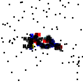 Cc1ncsc1-c1ccc([C@H](C)NC(=O)[C@@H]2C[C@@H](O)CN2C(=O)C(c2cc(N3CCC(CN4CCC(n5nc(NCC(C)(C)O)c6nnc(-c7cccc(F)c7O)cc65)CC4)CC3)no2)C(C)C)cc1